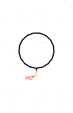 OSC1CCCCCCCCCCCCCCCC1